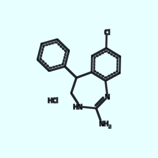 Cl.NC1=Nc2ccc(Cl)cc2C(c2ccccc2)CN1